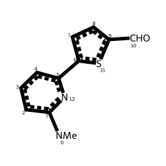 CNc1cccc(-c2ccc(C=O)s2)n1